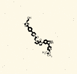 CC(C)Oc1ccc(C2NNc3ccc(N4CC[C@]5(CCN(CC(=O)N6CC=C(c7ccc(-c8ncn(CCO)n8)cc7)CC6)C5)C4=O)cc32)cn1